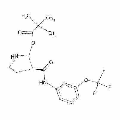 CC(C)(C)C(=O)OC1NCC[C@@H]1C(=O)Nc1cccc(OC(F)(F)F)c1